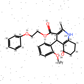 CCCOc1ccccc1C1C(C(=O)OCCOc2ccccc2)=C(C)NC2=C1C(=O)CCC2